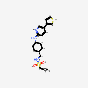 CCS(=O)(=O)NC[C@H]1CC[C@H](Nc2ccc(-c3ccsc3)cn2)CC1